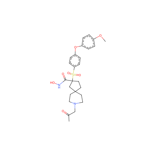 COc1ccc(Oc2ccc(S(=O)(=O)C3(C(=O)NO)CCC4(CCN(CC(C)=O)CC4)C3)cc2)cc1